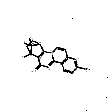 CC(C)(C)c1ccc2c(ccn3c4c(c(=O)nc23)C2(C)CCC4C2(C)C)n1